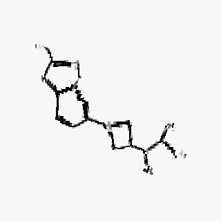 Cc1nc2ccc(N3CC(N(C)C(C)C)C3)cn2n1